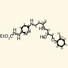 CCOC(=O)NNc1ccc(NCCC(C)NCC(O)COc2ccccc2C)nn1